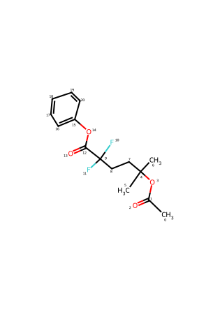 CC(=O)OC(C)(C)CCC(F)(F)C(=O)Oc1ccccc1